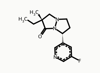 CC[C@]1(C)CN2CC[C@H](c3cncc(F)c3)N2C1=O